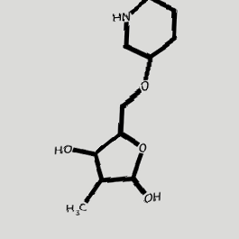 CC1C(O)OC(COC2CCCNC2)C1O